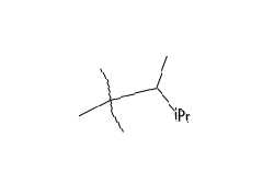 [CH2]C(C)C(C)C(C)(C)C